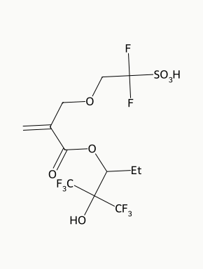 C=C(COCC(F)(F)S(=O)(=O)O)C(=O)OC(CC)C(O)(C(F)(F)F)C(F)(F)F